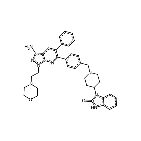 Nc1nn(CCN2CCOCC2)c2nc(-c3ccc(CN4CCC(n5c(=O)[nH]c6ccccc65)CC4)cc3)c(-c3ccccc3)cc12